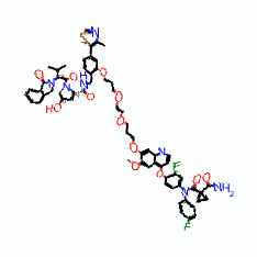 COc1cc2c(Oc3ccc(N(C(=O)C4(C(N)=O)CC4)c4ccc(F)cc4)cc3F)ccnc2cc1OCCCOCCOCCCOc1cc(-c2scnc2C)ccc1CNC(=O)[C@@H]1C[C@@H](O)CN1C(=O)[C@H](C(C)C)N1Cc2ccccc2C1=O